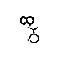 O=C(Nc1cccc2ccccc12)N1CCCCNC1